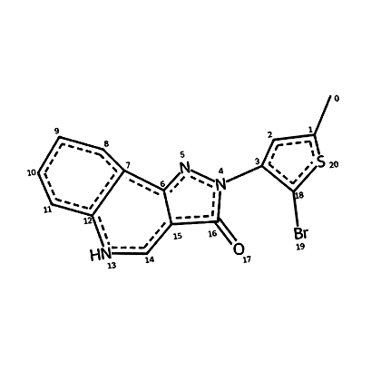 Cc1cc(-n2nc3c4ccccc4[nH]cc-3c2=O)c(Br)s1